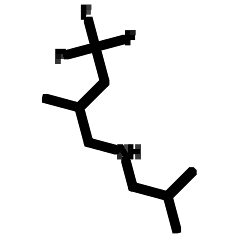 CC(C)CNCC(C)CC(F)(F)F